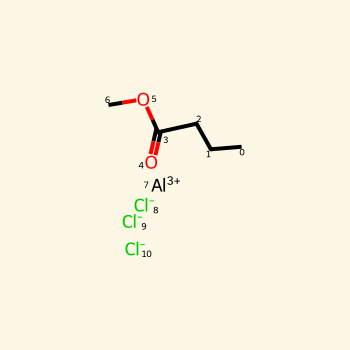 CCCC(=O)OC.[Al+3].[Cl-].[Cl-].[Cl-]